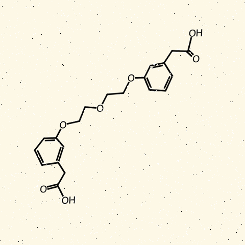 O=C(O)Cc1cccc(OCCOCCOc2cccc(CC(=O)O)c2)c1